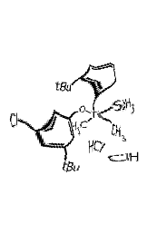 CC(C)(C)C1=[C]([Ti]([CH3])([CH3])([SiH3])[O]c2cc(Cl)cc(C(C)(C)C)c2)CC=C1.Cl.Cl